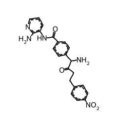 Nc1ncccc1NC(=O)c1ccc(C(N)C(=O)CCc2ccc([N+](=O)[O-])cc2)cc1